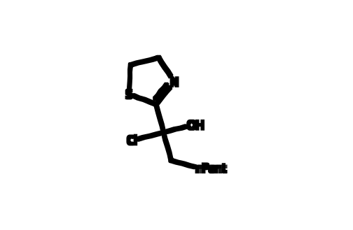 CCCCCCC(O)(Cl)C1=NCCS1